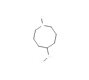 CCNC1CCCN(C(C)C)CCC1